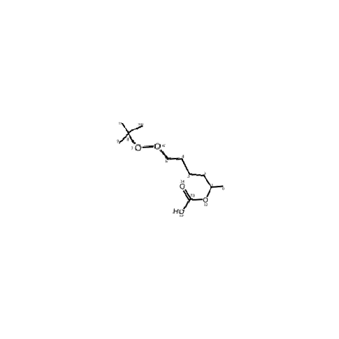 CC(CCCCOOC(C)(C)C)OC(=O)O